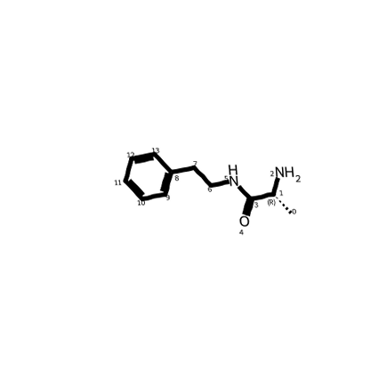 C[C@@H](N)C(=O)NCCc1ccccc1